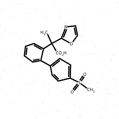 CC(C(=O)O)(c1ncco1)c1ccccc1-c1ccc(S(C)(=O)=O)cc1